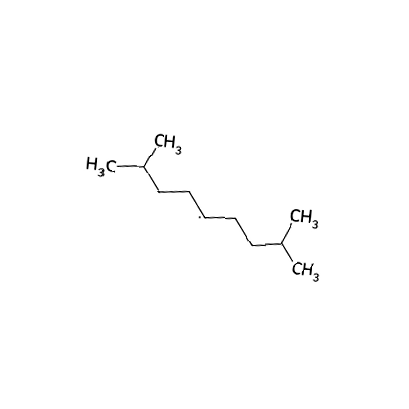 CC(C)CC[CH]CCC(C)C